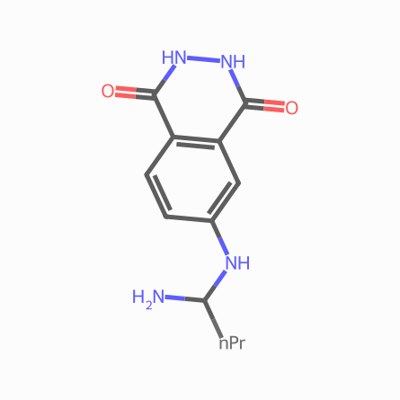 CCCC(N)Nc1ccc2c(=O)[nH][nH]c(=O)c2c1